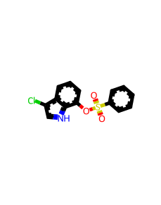 O=S(=O)(Oc1cccc2c(Cl)c[nH]c12)c1ccccc1